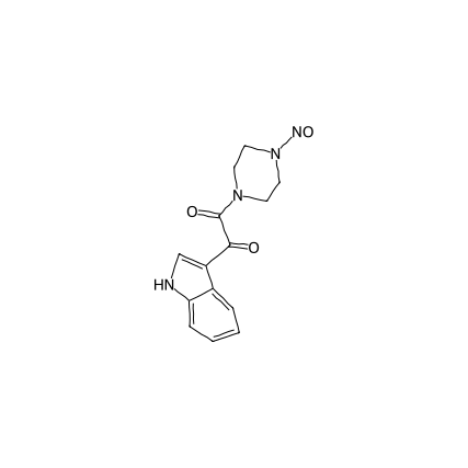 O=NN1CCN(C(=O)C(=O)c2c[nH]c3ccccc23)CC1